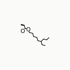 C=CC(=O)OCCCCCC(CC)CCC